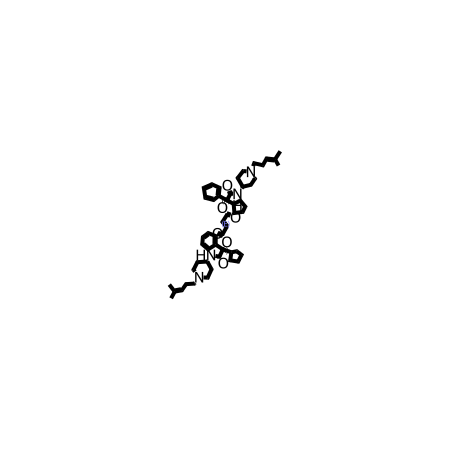 CC(C)=CCCN1CCC(NC(=O)[C@](OC(=O)/C=C/C(=O)O[C@@](C(=O)NC2CCN(CCC=C(C)C)CC2)(c2ccccc2)C2CCCC2)(c2ccccc2)C2CCCC2)CC1